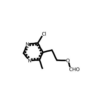 Cc1ncnc(Cl)c1CCOC=O